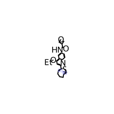 CCOc1cc(/C2=C/CCC/C=C/S2)nc2ccc(NC(=O)C3COC3)cc12